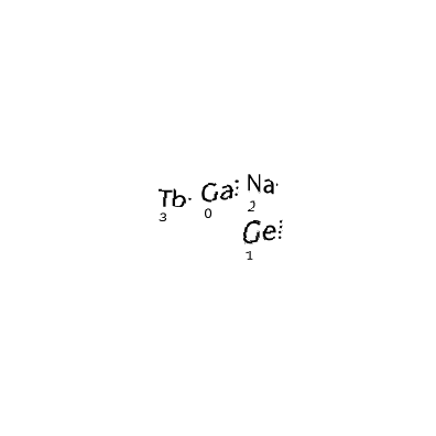 [Ga].[Ge].[Na].[Tb]